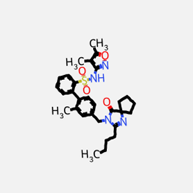 CCCCC1=NC2(CCCC2)C(=O)N1Cc1ccc(-c2ccccc2S(=O)(=O)Nc2noc(C)c2C)c(C)c1